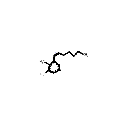 CCCCC/C=[C]\c1cccc(C)c1C